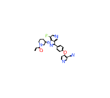 C=CC(=O)N1CCC[C@@H](n2nc(-c3ccc(Oc4ccncc4C#N)cc3)c3cncc(F)c32)C1